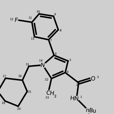 CCCCNC(=O)c1cc(-c2cccc(F)c2)n(CC2CCCCC2)c1C